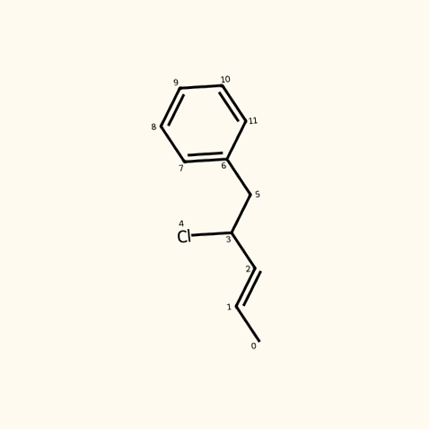 CC=CC(Cl)Cc1ccccc1